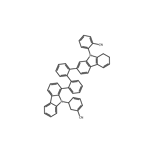 N#CC1=CC=CC(n2c3ccccc3c3cccc(-c4ccccc4-c4ccccc4-c4ccc5c6c(n(-c7ccccc7C#N)c5c4)CCC=C6)c32)C1